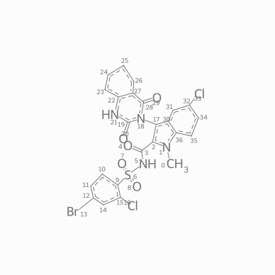 Cn1c(C(=O)NS(=O)(=O)c2ccc(Br)cc2Cl)c(-n2c(=O)[nH]c3ccccc3c2=O)c2cc(Cl)ccc21